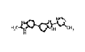 Cc1cc(-c2nc3cc(-c4ccc5nc(C)[nH]c5c4)ccc3[nH]2)ncn1